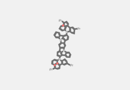 CC(C)c1ccc(-c2cc(C(C)C)ccc2N(c2ccccc2)c2ccc3c4cc5c(cc4n4c6ccccc6c2c34)c2ccc(N(c3ccccc3)c3ccc(C(C)C)cc3-c3ccc(C(C)C)cc3)c3c4ccccc4n5c23)cc1